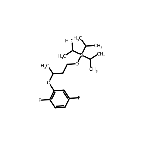 CC(CCO[Si](C(C)C)(C(C)C)C(C)C)Oc1cc(F)ccc1F